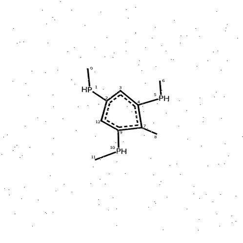 CPc1cc(PC)c(C)c(PC)c1